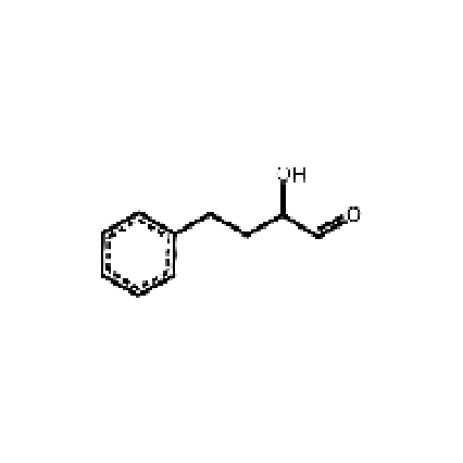 O=[C]C(O)CCc1ccccc1